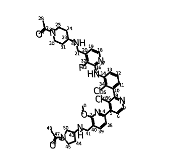 COc1nc(-c2ccnc(-c3cccc(Nc4nccc(CNC5CCN(C(C)=O)CC5)c4F)c3Cl)c2Cl)ccc1CNC1CCN(C(C)=O)C1